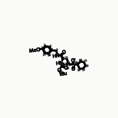 COc1ccc(CNC(=O)[C@H](CNS(=O)(=O)C2CCCCC2)NC(=O)OC(C)(C)C)cc1